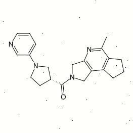 Cc1nc2c(c3c1CCC3)CN(C(=O)[C@@H]1CCN(c3cccnc3)C1)C2